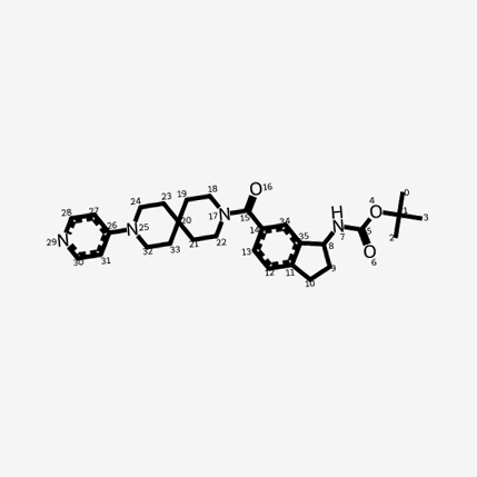 CC(C)(C)OC(=O)NC1CCc2ccc(C(=O)N3CCC4(CC3)CCN(c3ccncc3)CC4)cc21